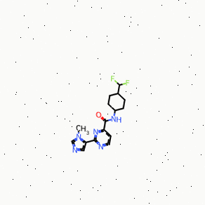 Cn1cncc1-c1nccc(C(=O)NC2CCC(C(F)F)CC2)n1